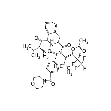 CC(=O)O/C(=C(/C(C)C)N(C(=O)c1ccc(C(=O)N2CCOCC2)cc1)C(=O)C1Cc2ccccc2C(C(=O)[C@@H](N)C(C)C)N1)C(F)(F)C(F)(F)F